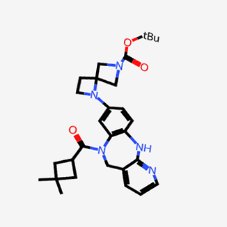 CC1(C)CC(C(=O)N2Cc3cccnc3Nc3ccc(N4CCC45CN(C(=O)OC(C)(C)C)C5)cc32)C1